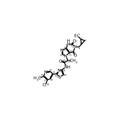 CCC1CC1Cn1c(=O)[nH]c2ncn([C@@H](C)C(=O)Nc3csc(-c4cnc(C)c(Cl)c4)n3)c2c1=O